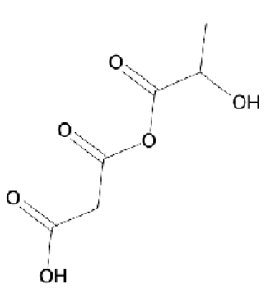 CC(O)C(=O)OC(=O)CC(=O)O